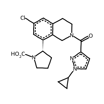 O=C(c1ccn(C2CC2)n1)N1CCc2cc(Cl)cc([C@@H]3CCCN3C(=O)O)c2C1